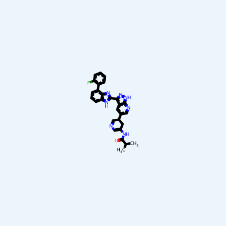 CC(C)C(=O)NC1=CN=CC(c2cnc3[nH]nc(-c4nc5c(-c6ccccc6F)cccc5[nH]4)c3c2)C1